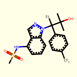 CCC(c1ccc(C(F)(F)F)cc1)(n1ncc2c(NS(C)(=O)=O)cccc21)C(C)(C)O